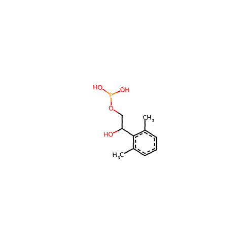 Cc1cccc(C)c1C(O)COP(O)O